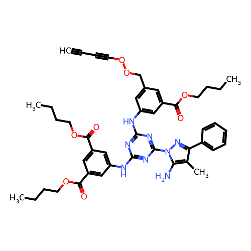 C#CC#COOCc1cc(Nc2nc(Nc3cc(C(=O)OCCCC)cc(C(=O)OCCCC)c3)nc(-n3nc(-c4ccccc4)c(C)c3N)n2)cc(C(=O)OCCCC)c1